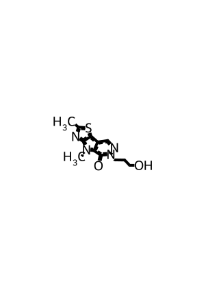 Cc1nc2c(s1)c1cnn(CCCO)c(=O)c1n2C